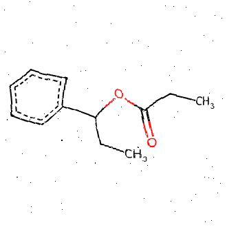 CCC(=O)OC(CC)c1ccccc1